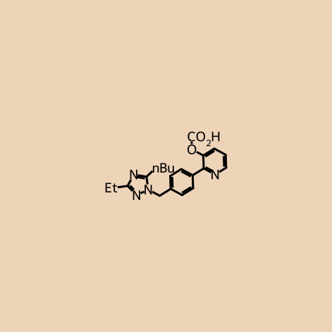 CCCCc1nc(CC)nn1Cc1ccc(-c2ncccc2OC(=O)O)cc1